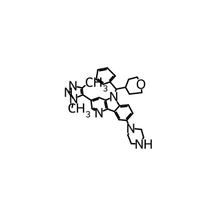 Cc1nnn(C)c1-c1cnc2c3cc(N4CCNCC4)ccc3n(C(c3ccccc3)C3CCOCC3)c2c1